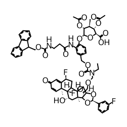 CCN(COCC(=O)[C@@]12O[C@H](c3cccc(F)c3)O[C@@H]1C[C@H]1[C@@H]3C[C@H](F)C4=CC(=O)C=C[C@]4(C)[C@@]3(F)[C@@H](O)C[C@@]12C)C(=O)OCc1ccc(O[C@@H]2O[C@H](C(=O)O)[C@@H](OC(C)=O)[C@H](C)[C@H]2OC(C)=O)c(NC(=O)CCNC(=O)OCC2c3ccccc3-c3ccccc32)c1